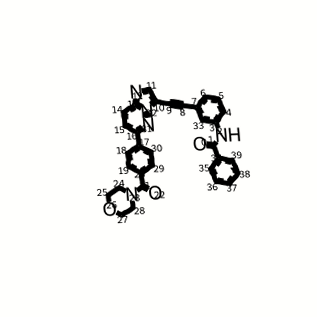 O=C(Nc1cccc(C#Cc2cnc3ccc(-c4ccc(C(=O)N5CCOCC5)cc4)nn23)c1)c1ccccc1